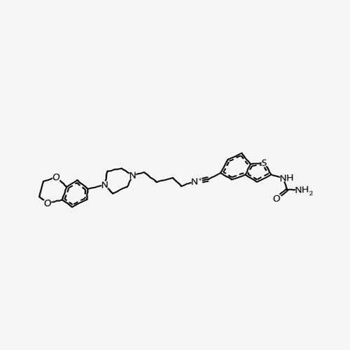 NC(=O)Nc1cc2cc(C#[N+]CCCCN3CCN(c4ccc5c(c4)OCCO5)CC3)ccc2s1